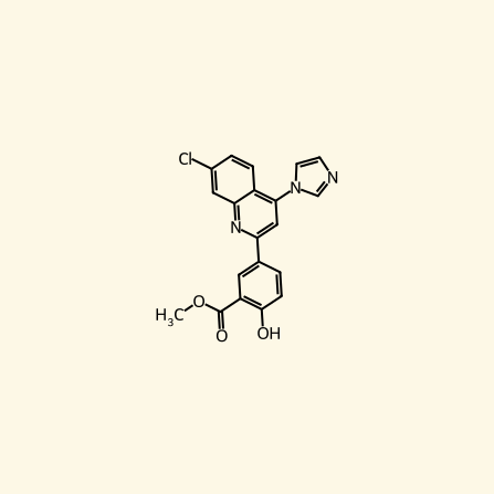 COC(=O)c1cc(-c2cc(-n3ccnc3)c3ccc(Cl)cc3n2)ccc1O